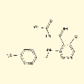 CCCC(=O)NC(=N)c1c(Cl)cncc1NCc1ccc(C(F)(F)F)cc1